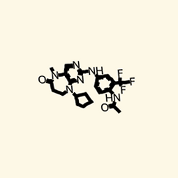 CC(=O)Nc1ccc(Nc2ncc3c(n2)N(C2CCCC2)CCC(=O)N3C)cc1C(F)(F)F